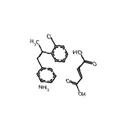 CC(Cc1ccccc1)c1ccccc1Cl.N.O=C(O)C=CC(=O)O